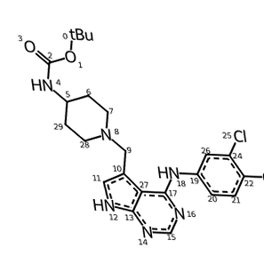 CC(C)(C)OC(=O)NC1CCN(Cc2c[nH]c3ncnc(Nc4ccc(Cl)c(Cl)c4)c23)CC1